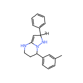 [2H]C1(c2ccccc2)C=C2NCCC(c3cccc(C)c3)N2N1